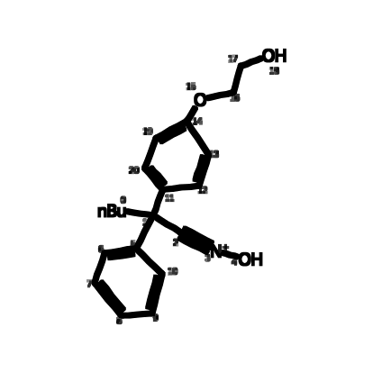 CCCCC(C#[N+]O)(c1ccccc1)c1ccc(OCCO)cc1